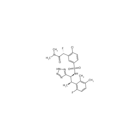 Cc1ccc(F)c([C@@H](C)[C@H](NS(=O)(=O)c2ccc(Cl)c([C@@H](F)C(=O)N(C)C)c2)c2nn[nH]n2)c1C